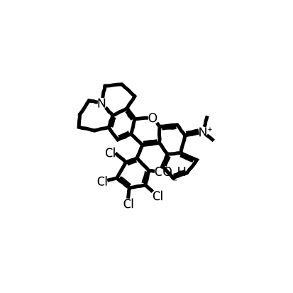 C[N+](C)=c1cc2oc3c4c5c(cc3c(-c3c(Cl)c(Cl)c(Cl)c(Cl)c3C(=O)O)c-2c2ccccc12)CCCCN5CCC4